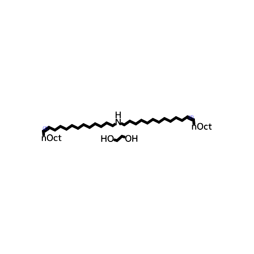 CCCCCCCC/C=C\CCCCCCCCCCCNCCCCCCCCCCC/C=C\CCCCCCCC.OCCO